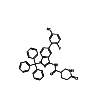 CC(=O)c1ccc(F)c(-c2ccc3c(c2)c(NC(=O)C2CCC(=O)NC2)nn3C(c2ccccc2)(c2ccccc2)c2ccccc2)c1